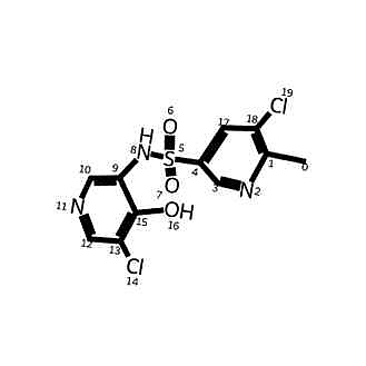 Cc1ncc(S(=O)(=O)Nc2cncc(Cl)c2O)cc1Cl